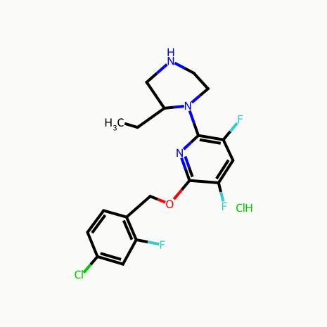 CCC1CNCCN1c1nc(OCc2ccc(Cl)cc2F)c(F)cc1F.Cl